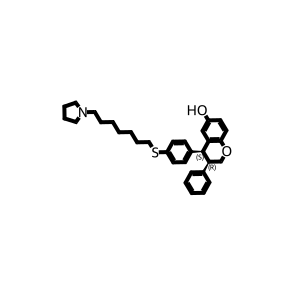 Oc1ccc2c(c1)[C@H](c1ccc(SCCCCCCCN3CCCC3)cc1)[C@H](c1ccccc1)CO2